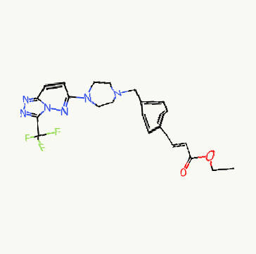 CCOC(=O)/C=C/c1ccc(CN2CCN(c3ccc4nnc(C(F)(F)F)n4n3)CC2)cc1